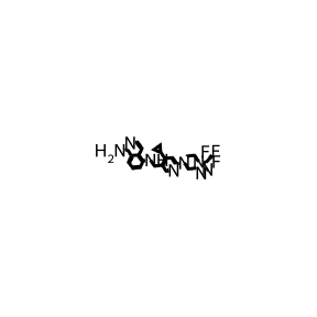 Nc1nccc2c(NCc3cnc(N4CCn5c(nnc5C(F)(F)F)C4)cc3C3CC3)cccc12